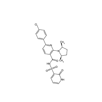 C[C@@H]1CC[C@H](C)N1c1nc(-c2ccc(Cl)cc2)ccc1C(=O)NS(=O)(=O)c1ccc[nH]c1=O